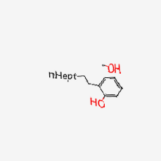 CCCCCCCCCc1ccccc1O.CO